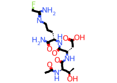 CC(=O)N[C@H](C(=O)N[C@@H](CC(=O)O)C(=O)N[C@@H](CCCN=C(N)CF)C(N)=O)[C@@H](C)O